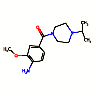 COc1cc(C(=O)N2CCN(C(C)C)CC2)ccc1N